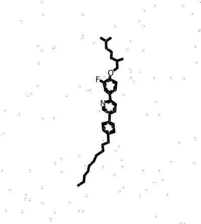 CCCCCCCCCCc1ccc(-c2ccc(-c3ccc(OCC(C)CCCC(C)C)c(F)c3)nc2)cc1